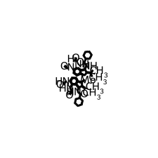 CC(C)=C1[C]([Mo][C]2=c3ccc(NC=O)c(NC=O)c3=C(NC(=O)C3CCCCC3)C2=C(C)C)=c2ccc(NC=O)c(NC=O)c2=C1NC(=O)C1CCCCC1